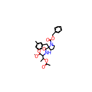 COC(=O)C(NC(=O)C1(Cc2cccc(C)c2)CCCN1C(=O)OCc1ccccc1)C(C)OC(C)=O